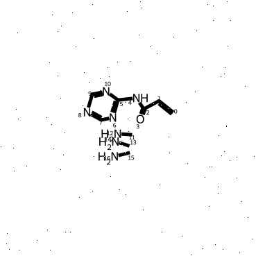 C=CC(=O)Nc1ncncn1.CN.CN.CN